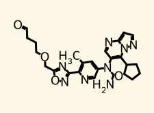 Cc1cc(N(C(N)=O)c2cnc3ccnn3c2C2CCCC2)cnc1-c1noc(COCCCC=O)n1